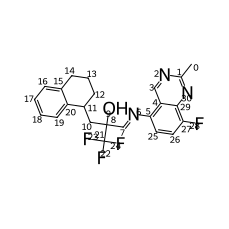 Cc1ncc2c(/N=C/C(O)(CC3CCCc4ccccc43)C(F)(F)F)ccc(F)c2n1